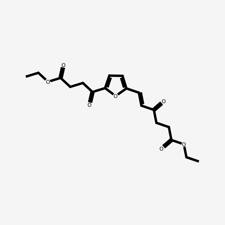 CCOC(=O)CCC(=O)C=Cc1ccc(C(=O)CCC(=O)OCC)o1